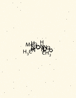 COc1cc(Nc2nc(C)cc(OC3CCCC3)n2)ccc1-c1nc(C)c[nH]1